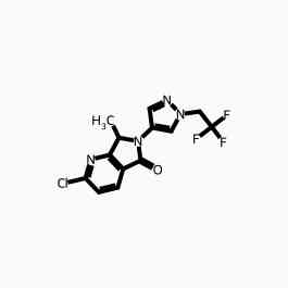 CC1c2nc(Cl)ccc2C(=O)N1c1cnn(CC(F)(F)F)c1